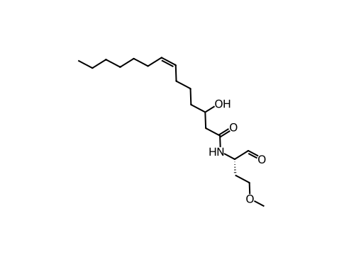 CCCCCC/C=C\CCCC(O)CC(=O)N[C@H](C=O)CCOC